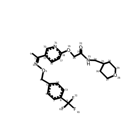 CC(=NOCc1ccc(C(F)(F)F)cc1)c1ccc(OCC(=O)NCC2CCOCC2)nc1